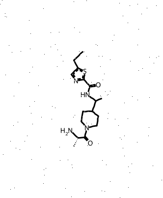 CCc1cnc(C(=O)NC(C)C2CCN(C(=O)[C@H](C)N)CC2)s1